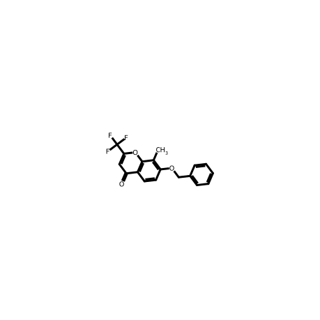 Cc1c(OCc2ccccc2)ccc2c(=O)cc(C(F)(F)F)oc12